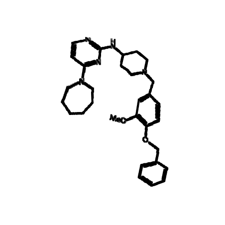 COc1cc(CN2CCC(Nc3nccc(N4CCCCCC4)n3)CC2)ccc1OCc1ccccc1